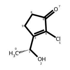 C[C@@H](O)C1=C(Cl)C(=O)CC1